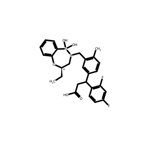 CC[C@@H]1CN(Cc2cc(C(CC(=O)O)c3ccc(F)cc3F)ccc2C)S(O)(O)c2ccccc2O1